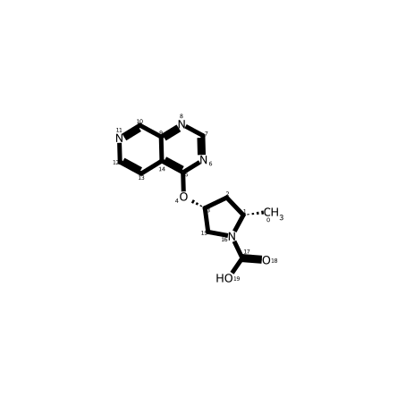 C[C@H]1C[C@@H](Oc2ncnc3cnccc23)CN1C(=O)O